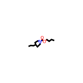 CCCCOC(=O)N1CCC(CCC)CC1